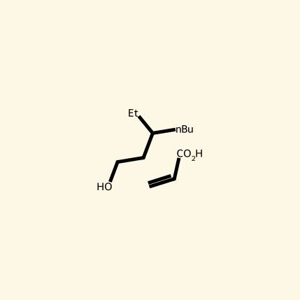 C=CC(=O)O.CCCCC(CC)CCO